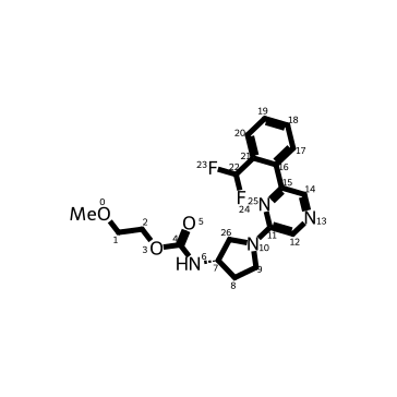 COCCOC(=O)N[C@H]1CCN(c2cncc(-c3ccccc3C(F)F)n2)C1